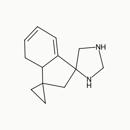 C1=CCC2C(=C1)C1(CNCN1)CC21CC1